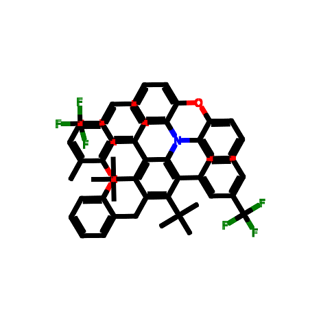 Cc1ccccc1Oc1ccccc1Cc1c(C(C)(C)C)c(-c2cccc(C(F)(F)F)c2)c(N2c3ccccc3Oc3ccccc32)c(-c2cccc(C(F)(F)F)c2)c1C(C)(C)C